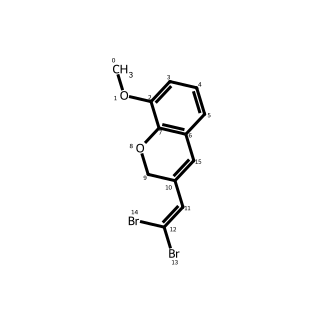 COc1cccc2c1OCC(C=C(Br)Br)=C2